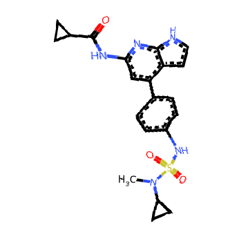 CN(C1CC1)S(=O)(=O)Nc1ccc(-c2cc(NC(=O)C3CC3)nc3[nH]ccc23)cc1